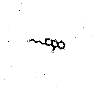 O=c1c2ccccc2sc2ccc(CCCCCl)cc12